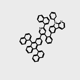 C1=CCC(n2c3ccc(-c4ccccc4-c4cc(-c5cccc6ccccc56)ncc4-c4ccc5c(-c6cccc7ccccc67)c6ccccc6c(-c6cccc7ccccc67)c5c4)cc3c3cccnc32)C=C1